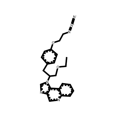 CCOCC(Cc1ccc(OCCN=[N+]=[N-])cc1)n1cnc2cnc3ccccc3c21